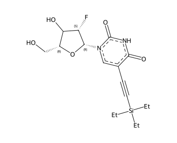 CC[Si](C#Cc1cn([C@@H]2O[C@H](CO)C(O)[C@@H]2F)c(=O)[nH]c1=O)(CC)CC